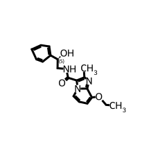 CCOc1cccn2c(C(=O)NC[C@@H](O)c3ccccc3)c(C)nc12